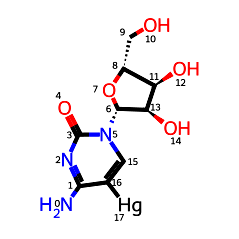 Nc1nc(=O)n([C@@H]2O[C@H](CO)[C@@H](O)[C@H]2O)c[c]1[Hg]